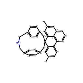 Cc1ccc2c(c1)C1(Cc3ccc(cc3)CNCc3ccc(cc3)C1)c1cc(C)cc3cccc-2c13